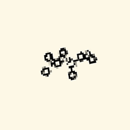 c1ccc(-c2nc(-c3ccc4oc5ccccc5c4c3)nc(-n3c4ccccc4c4c5c6ccccc6n(-c6ccccc6)c5ccc43)n2)cc1